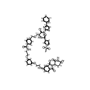 CS(=O)(=O)n1ccc(C(=O)N[C@@H](COCc2ccc(C(=O)NCCOc3cccc(OCCNc4ccc5c(c4)C(=O)N(C4CCC(=O)NC4=O)C5=O)c3)cc2)C(=O)Nc2nc(-c3ccccc3)cs2)c1